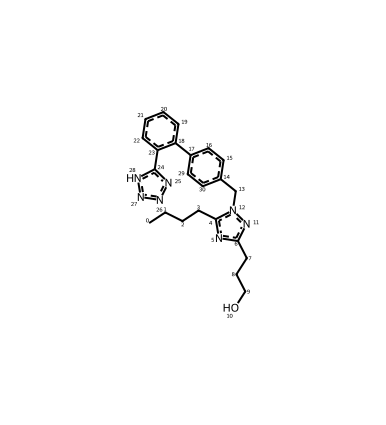 CCCCc1nc(CCCO)nn1Cc1ccc(-c2ccccc2-c2nnn[nH]2)cc1